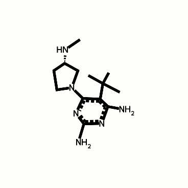 CN[C@H]1CCN(c2nc(N)nc(N)c2C(C)(C)C)C1